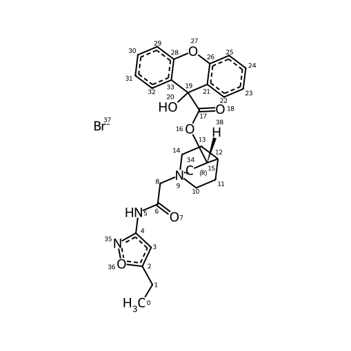 CCc1cc(NC(=O)C[N+]23CCC(CC2)[C@@H](OC(=O)C2(O)c4ccccc4Oc4ccccc42)C3)no1.[Br-]